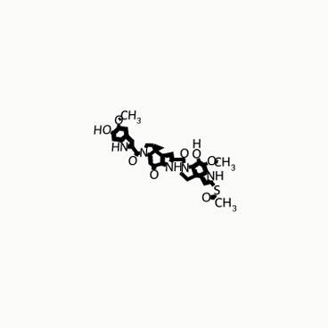 COc1cc2cc(C(=O)N3CC4CC45C3=CC(=O)c3[nH]c(C(=O)N4CCc6c4c(O)c(OC)c4[nH]c(SC(C)=O)cc64)cc35)[nH]c2cc1O